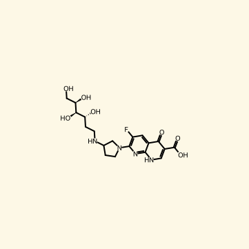 O=C(O)c1c[nH]c2nc(N3CCC(NCC[C@@H](O)[C@@H](O)[C@H](O)CO)C3)c(F)cc2c1=O